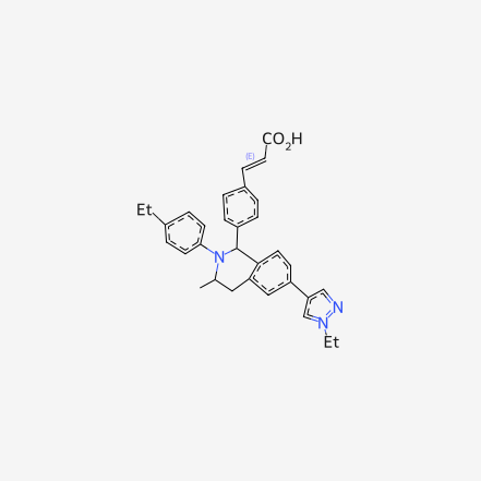 CCc1ccc(N2C(C)Cc3cc(-c4cnn(CC)c4)ccc3C2c2ccc(/C=C/C(=O)O)cc2)cc1